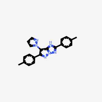 Cc1ccc(-c2nn3nc(-c4ccc(C)cc4)c(-n4cccn4)c3[nH]2)cc1